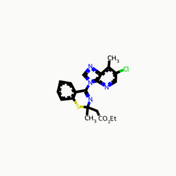 CCOC(=O)CC1(C)N=C(n2cnc3c(C)c(Cl)cnc32)c2ccccc2S1